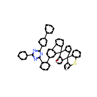 c1ccc(-c2ccc(-c3nc(-c4ccccc4)nc(-c4ccccc4-c4ccc5c(c4)C4(c6ccccc6-5)c5ccccc5C5(c6ccccc6Sc6ccccc65)c5ccccc54)n3)cc2)cc1